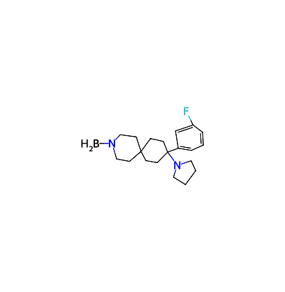 BN1CCC2(CC1)CCC(c1cccc(F)c1)(N1CCCC1)CC2